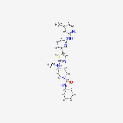 Cc1ccnc(Nc2cccc(-c3cnc(N(C)C4CCN(C(=O)NC5CCCCC5)CC4)s3)n2)c1